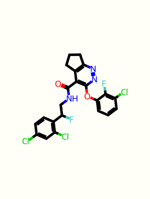 O=C(NCC(F)c1ccc(Cl)cc1Cl)c1c(Oc2cccc(Cl)c2F)nnc2c1CCC2